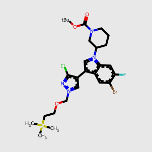 CC(C)(C)OC(=O)N1CCCC(n2cc(-c3cn(COCCS(C)(C)C)nc3Cl)c3cc(Br)c(F)cc32)C1